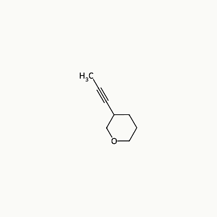 CC#CC1CCCOC1